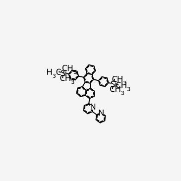 C[Si](C)(C)c1ccc(-c2c3c(c(-c4ccc([Si](C)(C)C)cc4)c4ccccc24)-c2ccc(-c4cccc(-c5ccccn5)n4)c4cccc-3c24)cc1